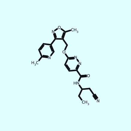 CCC(CC#N)NC(=O)c1ccc(OCc2c(-c3ccc(C)nc3)noc2C)nn1